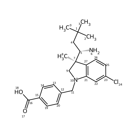 CC(C)(C)C[C@H](N)[C@]1(C)CN(Cc2ccc(C(=O)O)cc2)c2cc(Cl)ccc21